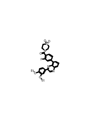 CCOc1ccc(-c2cnc3cccc(-c4ccc(C(=O)N5CCS(=O)(=O)CC5)c(F)c4)c3n2)cc1OCC